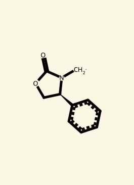 [CH2]N1C(=O)OC[C@@H]1c1ccccc1